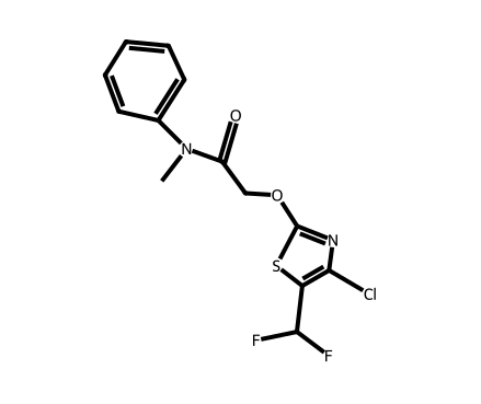 CN(C(=O)COc1nc(Cl)c(C(F)F)s1)c1ccccc1